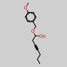 CCCC#CCC(O)OCc1ccc(OC)cc1